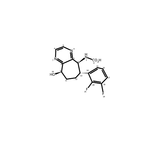 O=C(O)N[C@@H]1c2nccnc2[C@H](O)CC[C@H]1c1cccc(F)c1F